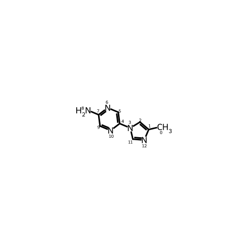 Cc1cn(-c2cnc(N)cn2)cn1